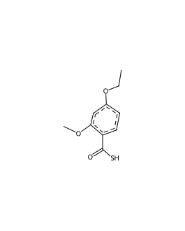 CCOc1ccc(C(=O)S)c(OC)c1